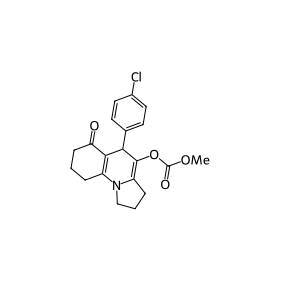 COC(=O)OC1=C2CCCN2C2=C(C(=O)CCC2)C1c1ccc(Cl)cc1